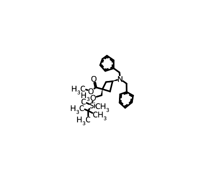 COC(=O)[C@]1(CO[Si](C)(C)C(C)(C)C)C[C@@H](N(Cc2ccccc2)Cc2ccccc2)C1